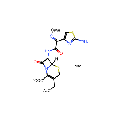 CON=C(C(=O)N[C@@H]1C(=O)N2C(C(=O)[O-])=C(COC(C)=O)CS[C@@H]12)c1csc(N)n1.[Na+]